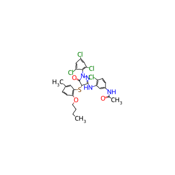 CCCCOc1ccc(C)cc1SC1C(=O)N(c2c(Cl)cc(Cl)cc2Cl)N=C1Nc1cc(NC(C)=O)ccc1Cl